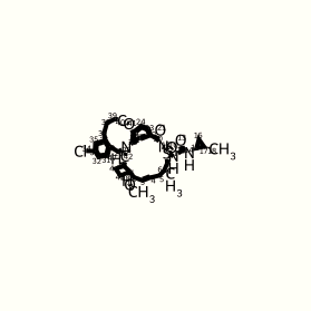 CO[C@H]1/C=C/C[C@H](C)CS(=O)(NC(=O)N[C@@H]2C[C@@H]2C)=NC(=O)c2ccc3c(c2)N(Cc2ccc(Cl)cc2CCCCO3)C[C@@H]2CC[C@H]21